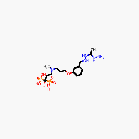 C=C(NN)NNCc1cccc(OCCCN(C)CCC(O)(P(=O)(O)O)P(=O)(O)O)c1